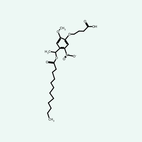 CCCCCCCCCCCC(=O)OC(C)c1cc(OC)c(OCCCC(=O)O)cc1[N+](=O)[O-]